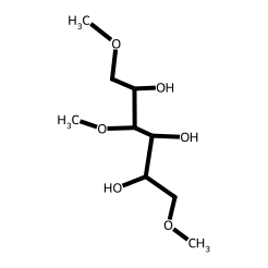 COCC(O)C(O)C(OC)C(O)COC